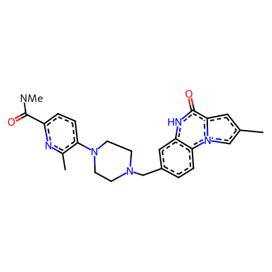 CNC(=O)c1ccc(N2CCN(Cc3ccc4c(c3)[nH]c(=O)c3cc(C)cn34)CC2)c(C)n1